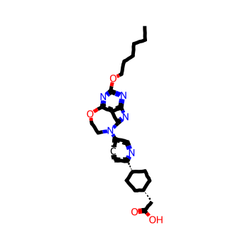 CCCCCCOc1nc2c3c(n1)OCCN(c1ccc([C@H]4CC[C@@H](CC(=O)O)CC4)nc1)C3=N2